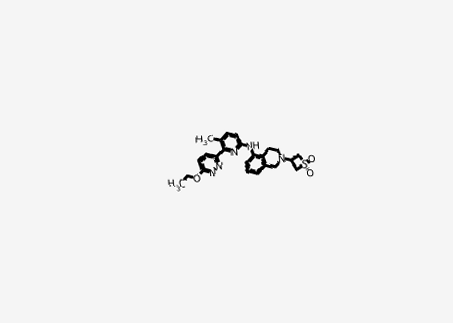 CCOc1ccc(-c2nc(Nc3cccc4c3CCN(C3CS(=O)(=O)C3)C4)ccc2C)nn1